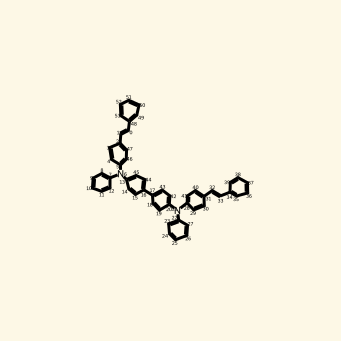 C(=Cc1ccc(N(c2ccccc2)c2ccc(-c3ccc(N(c4ccccc4)c4ccc(C=Cc5ccccc5)cc4)cc3)cc2)cc1)c1ccccc1